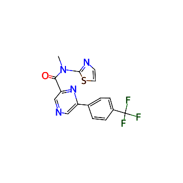 CN(C(=O)c1cncc(-c2ccc(C(F)(F)F)cc2)n1)c1nccs1